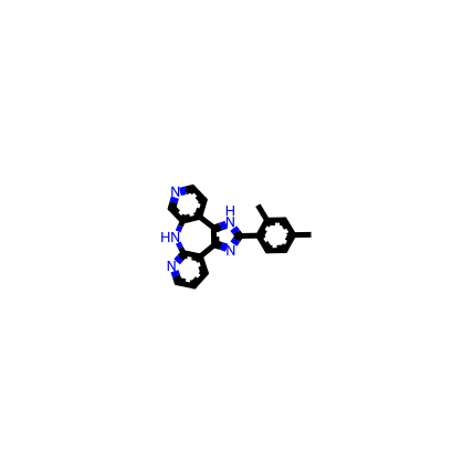 Cc1ccc(-c2nc3c([nH]2)-c2ccncc2Nc2ncccc2-3)c(C)c1